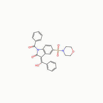 O=C1/C(=C(\O)c2ccccc2)c2cc(S(=O)(=O)N3CCOCC3)ccc2N1C(=O)c1ccccc1